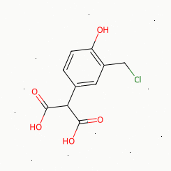 O=C(O)C(C(=O)O)c1ccc(O)c(CCl)c1